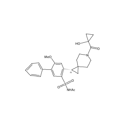 COc1cc([C@H]2CC23CCN(C(=O)C2(O)CC2)CC3)c(S(=O)(=O)NC(C)=O)cc1-c1ccccc1